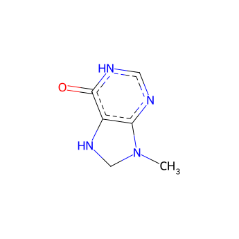 CN1CNc2c1nc[nH]c2=O